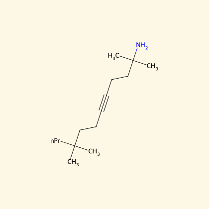 CCCC(C)(C)CCC#CCCC(C)(C)N